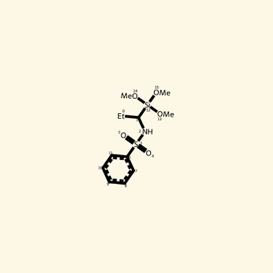 CCC(NS(=O)(=O)c1ccccc1)[Si](OC)(OC)OC